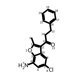 Cc1oc2c(N)cc(Cl)cc2c1C(=O)CCc1cc[c]cc1